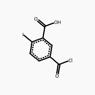 O=C(Cl)c1ccc(I)c(C(=O)O)c1